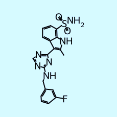 Cc1[nH]c2c(S(N)(=O)=O)cccc2c1-c1ncnc(NCc2cccc(F)c2)n1